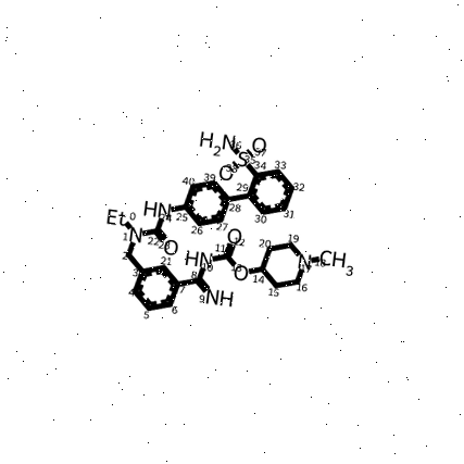 CCN(Cc1cccc(C(=N)NC(=O)OC2CCN(C)CC2)c1)C(=O)Nc1ccc(-c2ccccc2S(N)(=O)=O)cc1